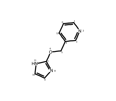 c1cncc(COc2ncc[nH]2)c1